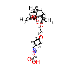 C[C@H]1[C@@H](OCCCOc2ccc(/C=N/OCC(=O)O)cc2)O[C@@H]2O[C@@]3(C)CCC4[C@H](C)CC[C@@H]1[C@]42OO3